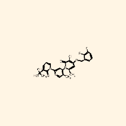 Cc1cnc(-n2cccc(C(C)(C)O)c2=O)cc1-n1c(C)cc(OCc2cccc(F)c2F)c(Cl)c1=O